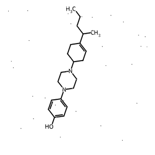 C[CH]CC(C)C1=CCC(N2CCN(c3ccc(O)cc3)CC2)CC1